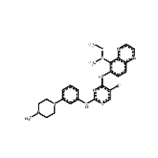 CSN(C)c1c(Nc2nc(Nc3cccc(N4CCN(C)CC4)c3)ncc2Br)ccc2nccnc12